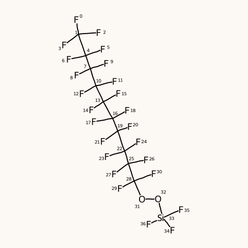 FC(F)(F)C(F)(F)C(F)(F)C(F)(F)C(F)(F)C(F)(F)C(F)(F)C(F)(F)C(F)(F)C(F)(F)OO[Si](F)(F)F